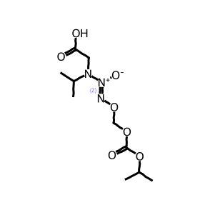 CC(C)OC(=O)OCO/N=[N+](\[O-])N(CC(=O)O)C(C)C